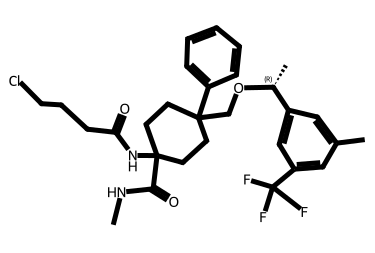 CNC(=O)C1(NC(=O)CCCCl)CCC(CO[C@H](C)c2cc(C)cc(C(F)(F)F)c2)(c2ccccc2)CC1